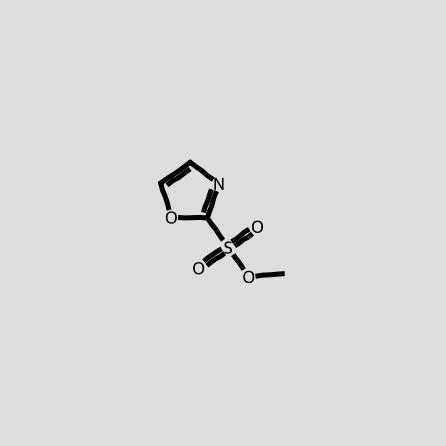 COS(=O)(=O)c1ncco1